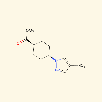 COC(=O)[C@H]1CC[C@@H](n2cc([N+](=O)[O-])cn2)CC1